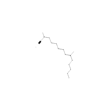 CCCCCC(C)CCCCCCC(C)C#N